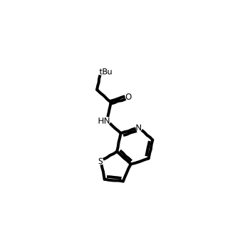 CC(C)(C)CC(=O)Nc1nccc2ccsc12